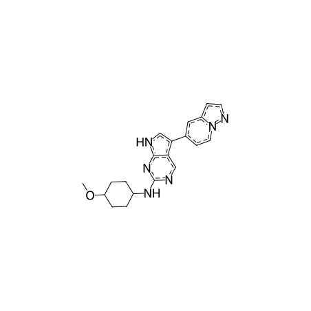 COC1CCC(Nc2ncc3c(-c4ccn5nccc5c4)c[nH]c3n2)CC1